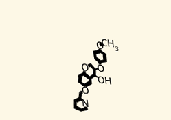 COc1ccc(O[C@@H]2COc3ccc(OCc4ccccn4)cc3[C@@H]2O)cc1